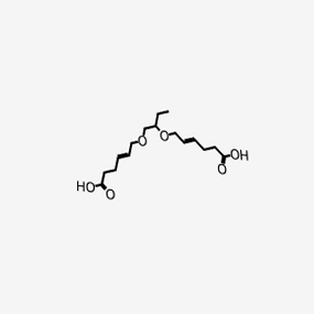 CCC(COC/C=C/CCC(=O)O)OC/C=C/CCC(=O)O